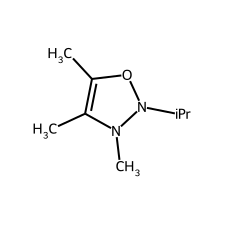 CC1=C(C)N(C)N(C(C)C)O1